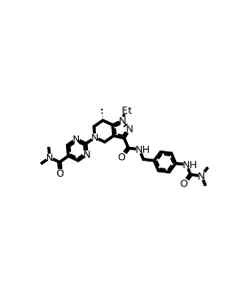 CCn1nc(C(=O)NCc2ccc(NC(=O)N(C)C)cc2)c2c1[C@@H](C)CN(c1ncc(C(=O)N(C)C)cn1)C2